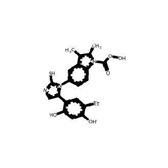 CCc1cc(-c2cnc(S)n2-c2ccc3c(c2)c(C)c(C)n3C(=O)OO)c(O)cc1O